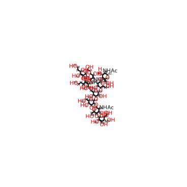 CC(=O)N/C(=C(\O)[C@@H](CCO)O[C@H](O)/C(O)=C(/O)[C@@H](O)CCO)[C@@H](O)OC(C(O)[C@H](O)CCO)[C@H](O)OCC1O[C@@H](O[C@@H]2C(CO)O[C@@H](O[C@@H]3C(CO)O[C@@H](C)C(NC(C)=O)C3O)C(NC(C)=O)C2O)C(O)C(O[C@H]2OC(CO)[C@@H](O)C(O)C2O[C@@H]2OC(CO)[C@@H](O[C@H](O)/C(O)=C(/O)[C@@H](CO)CCO)C(O)C2NC(C)=O)[C@@H]1O